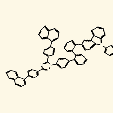 c1ccc(-n2c3ccccc3c3cc(-c4ccccc4-c4ccccc4-c4ccc(-n5nc(-c6ccc(-c7cccc8ccccc78)cc6)nc5-c5ccc(-c6cccc7ccccc67)cc5)cc4)ccc32)cc1